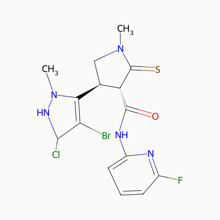 CN1C[C@H](C2=C(Br)C(Cl)NN2C)[C@@H](C(=O)Nc2cccc(F)n2)C1=S